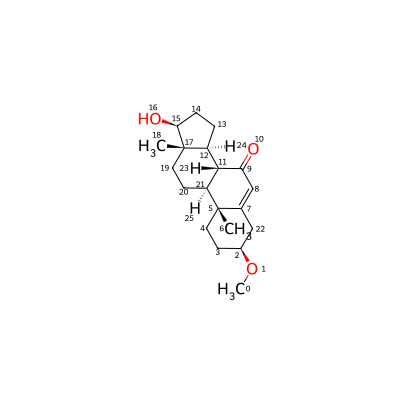 CO[C@H]1CC[C@@]2(C)C(=CC(=O)[C@H]3[C@@H]4CC[C@H](O)[C@@]4(C)CC[C@@H]32)C1